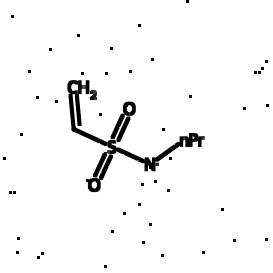 C=CS(=O)(=O)[N]CCC